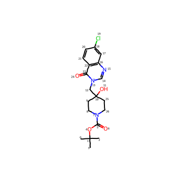 CC(C)(C)OC(=O)N1CCC(O)(Cn2cnc3cc(Cl)ccc3c2=O)CC1